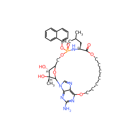 CC(C)C[C@@H]1NP(=O)(Oc2cccc3ccccc23)OCC2OC(n3cnc4c(nc(N)nc43)OCCCCCCCOC1=O)[C@](C)(O)[C@@H]2O